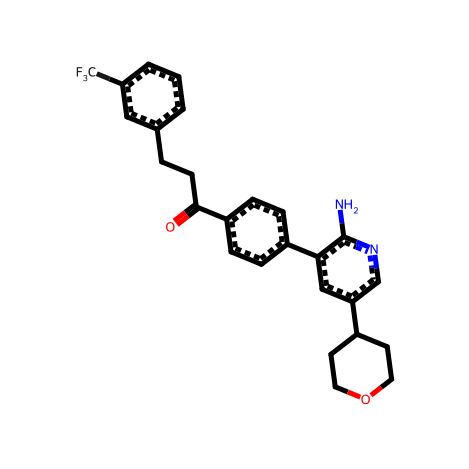 Nc1ncc(C2CCOCC2)cc1-c1ccc(C(=O)CCc2cccc(C(F)(F)F)c2)cc1